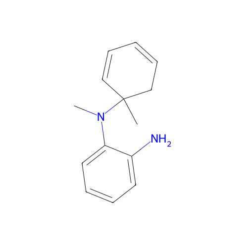 CN(c1ccccc1N)C1(C)C=CC=CC1